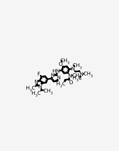 C=CC(=O)N(C)c1cc(Nc2nccc(-c3cc(F)c4nc(C)n(C(C)C)c4c3)n2)c(OC)cc1N(C)CCN(C)C